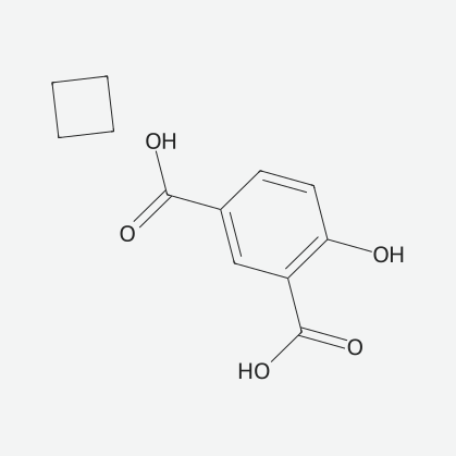 C1CCC1.O=C(O)c1ccc(O)c(C(=O)O)c1